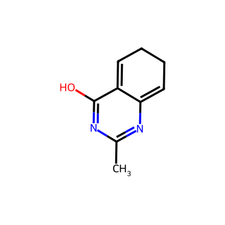 Cc1nc(O)c2c(n1)=CCCC=2